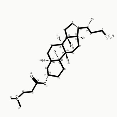 C[C@H](CCC(=O)O)[C@H]1CC[C@H]2[C@@H]3CC[C@@H]4C[C@@H](OC(=O)CCN(C)C)CC[C@]4(C)[C@H]3CC[C@]12C